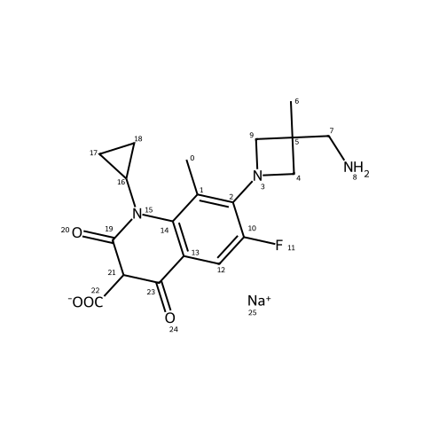 Cc1c(N2CC(C)(CN)C2)c(F)cc2c1N(C1CC1)C(=O)C(C(=O)[O-])C2=O.[Na+]